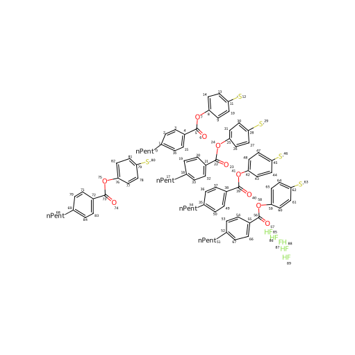 CCCCCc1ccc(C(=O)Oc2ccc([S])cc2)cc1.CCCCCc1ccc(C(=O)Oc2ccc([S])cc2)cc1.CCCCCc1ccc(C(=O)Oc2ccc([S])cc2)cc1.CCCCCc1ccc(C(=O)Oc2ccc([S])cc2)cc1.CCCCCc1ccc(C(=O)Oc2ccc([S])cc2)cc1.F.F.F.F.F